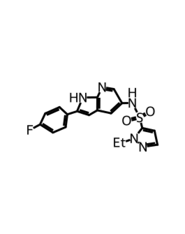 CCn1nccc1S(=O)(=O)Nc1cnc2[nH]c(-c3ccc(F)cc3)cc2c1